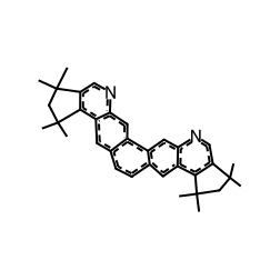 CC1(C)CC(C)(C)c2c1cnc1cc3c(ccc4cc5c6c(cnc5cc43)C(C)(C)CC6(C)C)cc21